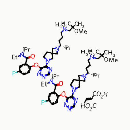 CCN(C(=O)c1cc(F)ccc1Oc1nncnc1N1CCC2(C1)CN([C@H](CCCN(C)CC(C)(C)OC)C(C)C)C2)C(C)C.CCN(C(=O)c1cc(F)ccc1Oc1nncnc1N1CCC2(C1)CN([C@H](CCCN(C)CC(C)(C)OC)C(C)C)C2)C(C)C.O=C(O)/C=C/C(=O)O